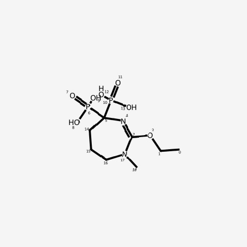 CCOC1=NC(P(=O)(O)O)(P(=O)(O)O)CCCN1C